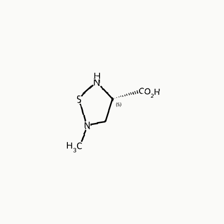 CN1C[C@@H](C(=O)O)NS1